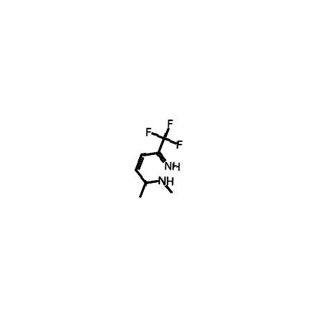 CNC(C)/C=C\C(=N)C(F)(F)F